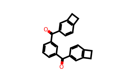 O=C(c1cccc(C(=O)c2ccc3c(c2)CC3)c1)c1ccc2c(c1)CC2